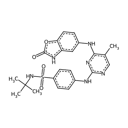 Cc1cnc(Nc2ccc(S(=O)(=O)NC(C)(C)C)cc2)nc1Nc1ccc2oc(=O)[nH]c2c1